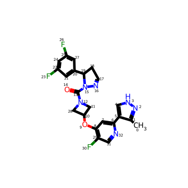 Cc1n[nH]cc1-c1cc(OC2CN(C(=O)N3N=CCC3c3cc(F)cc(F)c3)C2)c(F)cn1